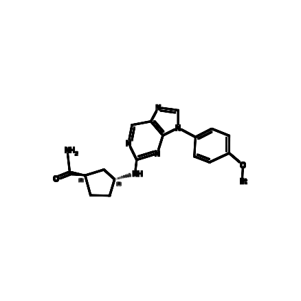 CCOc1ccc(-n2cnc3cnc(N[C@@H]4CC[C@@H](C(N)=O)C4)nc32)cc1